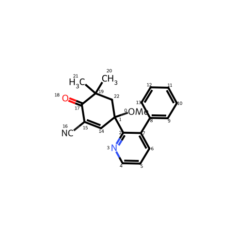 COC1(c2ncccc2-c2ccccc2)C=C(C#N)C(=O)C(C)(C)C1